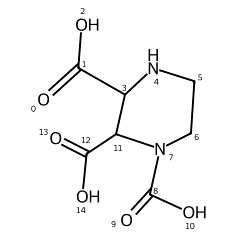 O=C(O)C1NCCN(C(=O)O)C1C(=O)O